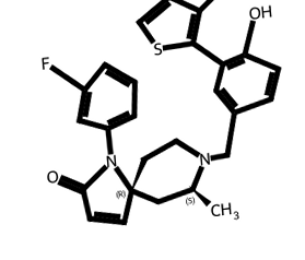 Cc1ccsc1-c1cc(CN2CC[C@]3(C=CC(=O)N3c3cccc(F)c3)C[C@@H]2C)ccc1O